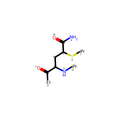 CCC(=O)C(CC(SC(C)C)C(N)=O)NC(C)C